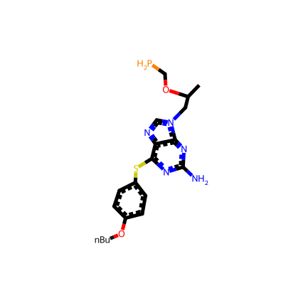 CCCCOc1ccc(Sc2nc(N)nc3c2ncn3CC(C)OCP)cc1